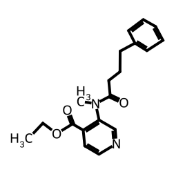 CCOC(=O)c1ccncc1N(C)C(=O)CCCc1ccccc1